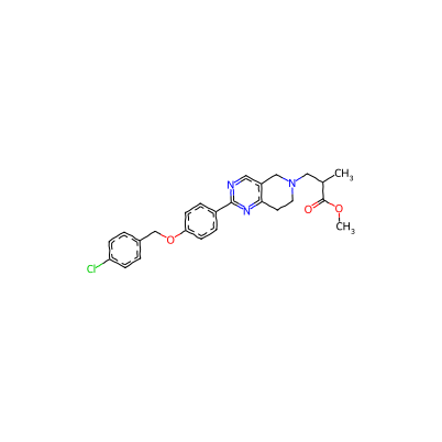 COC(=O)C(C)CN1CCc2nc(-c3ccc(OCc4ccc(Cl)cc4)cc3)ncc2C1